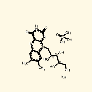 Cc1cc2nc3c(=O)[nH]c(=O)nc-3n(C[C@H](O)[C@H](O)[C@H](O)CO)c2cc1C.O=P(O)(O)O.[KH]